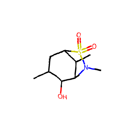 CC1CC2C(C)C(C1O)N(C)S2(=O)=O